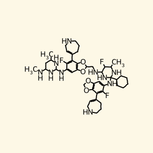 CNC1CC(C)NC(Nc2cc3c(c(C4=CCNCCC4)c2F)OC(CNC2NC(Nc4cc5c(c(C6=CCNCCC6)c4F)OCO5)(C4CCCCC4)NC(C)C2F)O3)N1